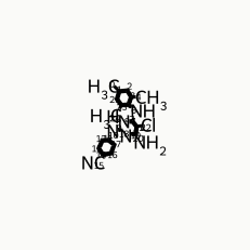 Cc1cc(C)c(Nc2nc(Nc3ccc(C#N)cc3)nc(N)c2Cl)c(C)c1